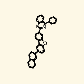 c1ccc(-c2nc(-c3ccc4c(c3)oc3ccc(-c5ccc6ccccc6c5)cc34)nc3ccccc23)cc1